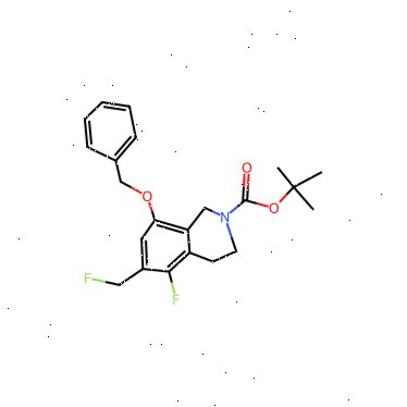 CC(C)(C)OC(=O)N1CCc2c(F)c(CF)cc(OCc3ccccc3)c2C1